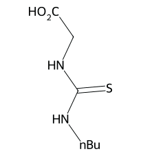 CCCCNC(=S)NCC(=O)O